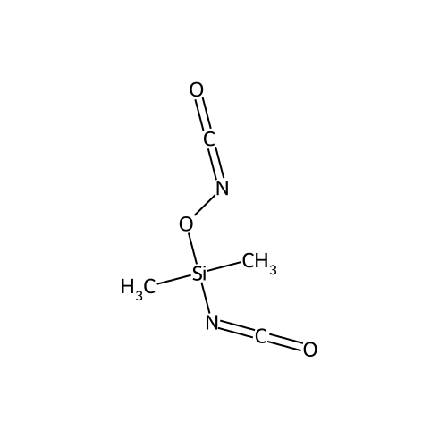 C[Si](C)(N=C=O)ON=C=O